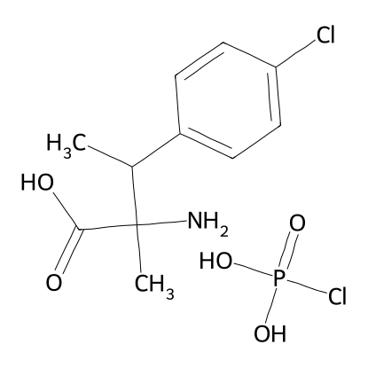 CC(c1ccc(Cl)cc1)C(C)(N)C(=O)O.O=P(O)(O)Cl